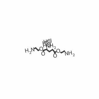 Cl.Cl.Cl.NCCOC(=O)CC[C@H](N)C(=O)OCCN